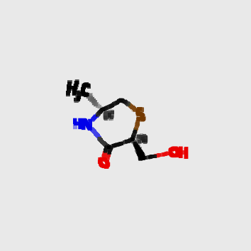 C[C@@H]1CS[C@@H](CO)C(=O)N1